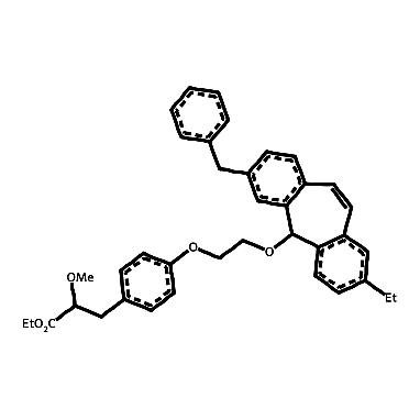 CCOC(=O)C(Cc1ccc(OCCOC2c3ccc(CC)cc3C=Cc3ccc(Cc4ccccc4)cc32)cc1)OC